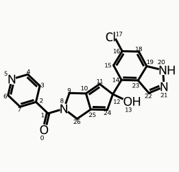 O=C(c1ccncc1)N1CC2=CC(O)(c3cc(Cl)cc4[nH]ncc34)C=C2C1